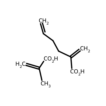 C=C(C)C(=O)O.C=CCCC(=C)C(=O)O